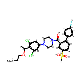 COCCOC(C)c1c(Cl)cc(N2CCN(C(=O)c3cc(S(C)(=O)=O)ccc3-c3ccc(F)cc3)CC2)cc1Cl